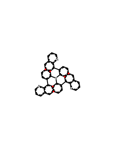 c1ccc(N(c2ccccc2-c2cccc3cccnc23)c2ccccc2-c2cccc3cccnc23)c(-c2cccc3cccnc23)c1